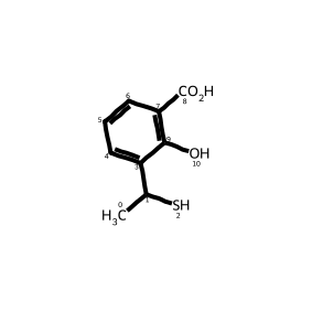 CC(S)c1cccc(C(=O)O)c1O